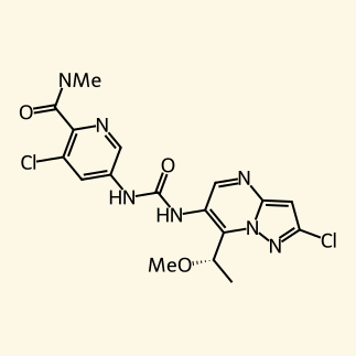 CNC(=O)c1ncc(NC(=O)Nc2cnc3cc(Cl)nn3c2[C@H](C)OC)cc1Cl